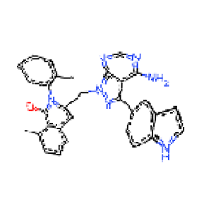 Cc1ccccc1-n1c(Cn2nc(-c3ccc4[nH]ccc4c3)c3c(N)ncnc32)cc2cccc(C)c2c1=O